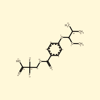 COC(Oc1ccc(C(=O)OCC(F)(F)C(=O)O)cc1)C(C)C